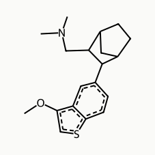 COc1csc2ccc(C3C4CCC(C4)C3CN(C)C)cc12